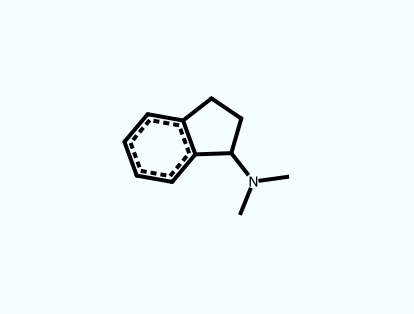 CN(C)C1CCc2ccccc21